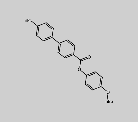 CCCCOc1ccc(OC(=O)c2ccc(-c3ccc(CCC)cc3)cc2)cc1